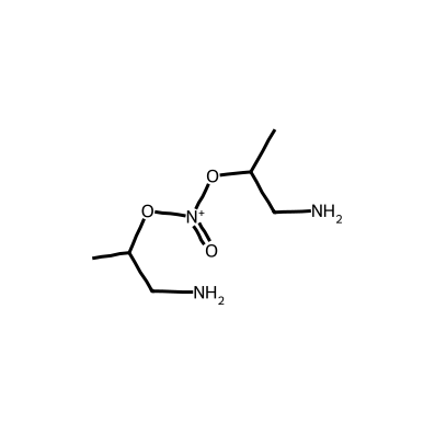 CC(CN)O[N+](=O)OC(C)CN